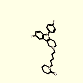 O=C1CCCCN1CCCCCN1CCc2c(c3cc(F)ccc3n2-c2ccc(F)cc2)C1